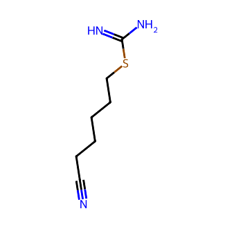 N#CCCCCCSC(=N)N